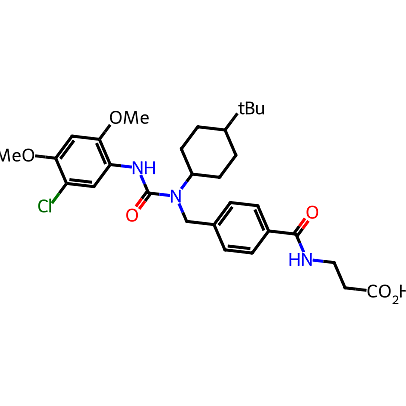 COc1cc(OC)c(NC(=O)N(Cc2ccc(C(=O)NCCC(=O)O)cc2)C2CCC(C(C)(C)C)CC2)cc1Cl